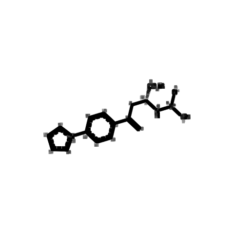 C=C(C[C@@H](N[S+]([O-])C(C)(C)C)C(=O)OCC)c1ccc(-n2cccc2)cc1